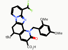 COc1ccc(Cn2c3c(cc(C(=O)O)c2=O)C(C(C)(C)C)Cc2c-3nc3c(C(F)F)cccn23)c(OC)c1